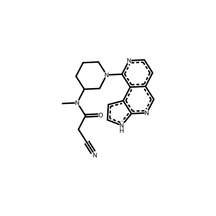 CN(C(=O)CC#N)C1CCCN(c2nccc3cnc4[nH]ccc4c23)C1